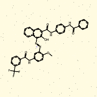 COc1ccc(NC(=O)c2cccc(C(F)(F)F)c2)cc1/N=N/c1c(O)c(C(=O)Nc2ccc(NC(=O)c3ccccc3)cc2)cc2ccccc12